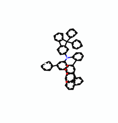 c1ccc(-c2cc(-c3ccccc3)cc(N(c3ccc4c(c3)C(c3ccccc3)(c3ccccc3)c3ccccc3-4)c3ccccc3-c3cccc(-c4cccc5ccccc45)c3)c2)cc1